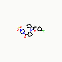 CS(=O)(=O)N1CCN(C(=O)c2cccc(N3C(=O)[C@]4(C[C@@H]4c4ccc(Cl)cc4)c4ccccc43)c2)CC1